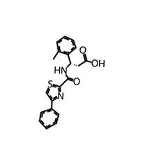 Cc1ccccc1[C@H](CC(=O)O)NC(=O)c1nc(-c2ccccc2)cs1